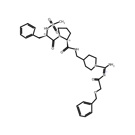 CS(=O)(=O)N[C@H](Cc1ccccc1)C(=O)N1CCC[C@H]1C(=O)NCC1CCN(/C(N)=N\C(=O)COCc2ccccc2)CC1